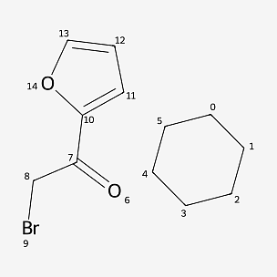 C1CCCCC1.O=C(CBr)c1ccco1